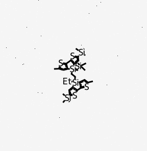 CC[Si]1(CC[Si]2(C[Si](C)(C)C)c3cc(C)sc3-c3sc([Si](C)(C)C)cc32)c2cc(C)sc2-c2sc([Si](C)(C)C)cc21